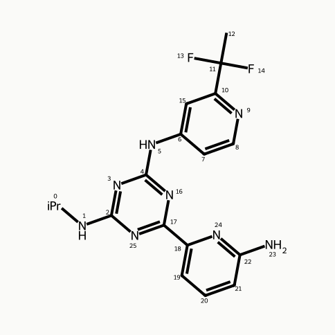 CC(C)Nc1nc(Nc2ccnc(C(C)(F)F)c2)nc(-c2cccc(N)n2)n1